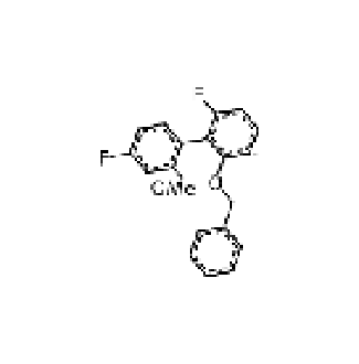 COc1cc(F)ccc1-c1c(OCc2ccccc2)[c]ccc1F